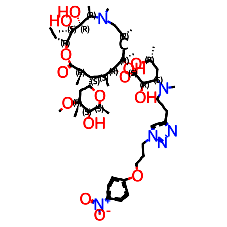 CC[C@H]1OC(=O)[C@H](C)[C@@H](C2C[C@@](C)(OC)[C@@H](O)[C@H](C)O2)[C@H](C)[C@@H](O[C@@H]2O[C@H](C)C[C@H](N(C)CCc3cn(CCCOc4ccc([N+](=O)[O-])cc4)nn3)[C@H]2O)[C@](C)(O)C[C@@H](C)CN(C)[C@H](C)[C@@H](O)[C@]1(C)O